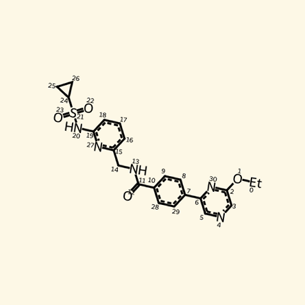 CCOc1cncc(-c2ccc(C(=O)NCc3cccc(NS(=O)(=O)C4CC4)n3)cc2)n1